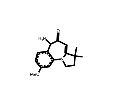 COc1ccc2c(c1)N1CCC(C)(C)C1=CC(=O)C2N